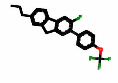 CCCc1ccc2c(c1)Cc1cc(-c3ccc(OC(F)(F)F)cc3)c(F)cc1-2